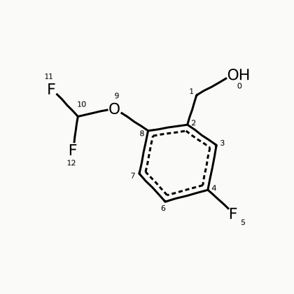 OCc1cc(F)ccc1OC(F)F